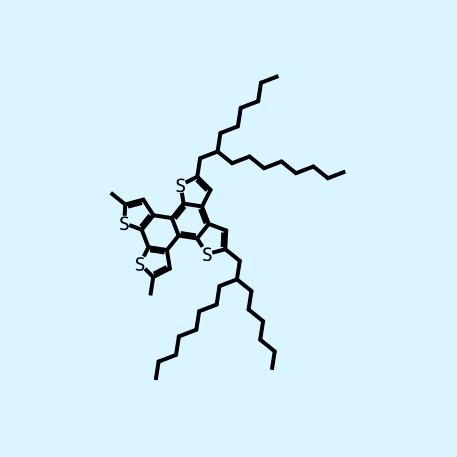 CCCCCCCCC(CCCCCC)Cc1cc2c3cc(CC(CCCCCC)CCCCCCCC)sc3c3c4cc(C)sc4c4sc(C)cc4c3c2s1